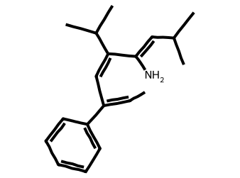 C\C=C(/C=C(\C(N)=C\C(C)C)C(C)C)c1ccccc1